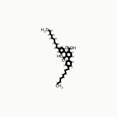 CCCCCCCCCc1ccc(-c2ccc(C(=O)O)c(-c3ccc(CCCCCCCCC)cc3)c2C(=O)O)cc1